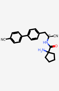 N#Cc1ccc(-c2ccc(C[C@@H](C#N)NC(=O)C3(N)CCCC3)cc2)cc1